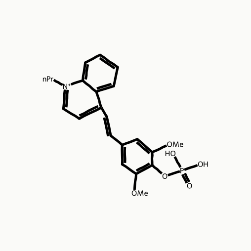 CCC[n+]1ccc(C=Cc2cc(OC)c(OP(=O)(O)O)c(OC)c2)c2ccccc21